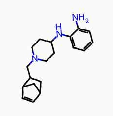 Nc1ccccc1NC1CCN(CC2CC3C=CC2C3)CC1